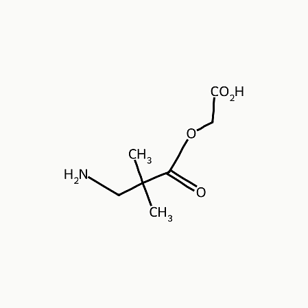 CC(C)(CN)C(=O)OCC(=O)O